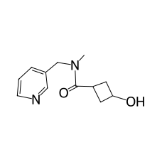 CN(Cc1cccnc1)C(=O)C1CC(O)C1